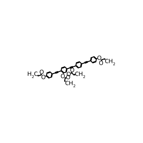 C=CC(=O)Oc1ccc(C#Cc2ccc(C#Cc3ccc(C#Cc4ccc(OC(=O)C=C)cc4)c(OC(=O)C=C)c3OC(=O)C=C)cc2)cc1